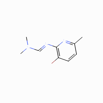 Cc1ccc(Br)c(/N=C/N(C)C)n1